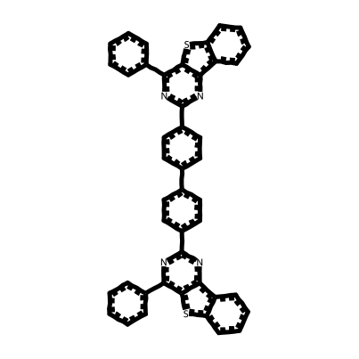 c1ccc(-c2nc(-c3ccc(-c4ccc(-c5nc(-c6ccccc6)c6sc7ccccc7c6n5)cc4)cc3)nc3c2sc2ccccc23)cc1